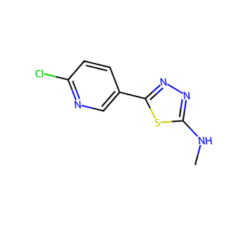 CNc1nnc(-c2ccc(Cl)nc2)s1